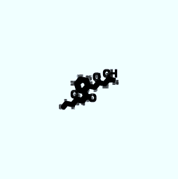 CCCc1cc(=O)c2c(CC(=O)CC(C)O)cccc2o1